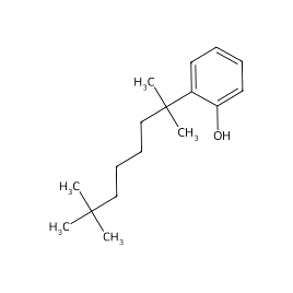 CC(C)(C)CCCCC(C)(C)c1ccccc1O